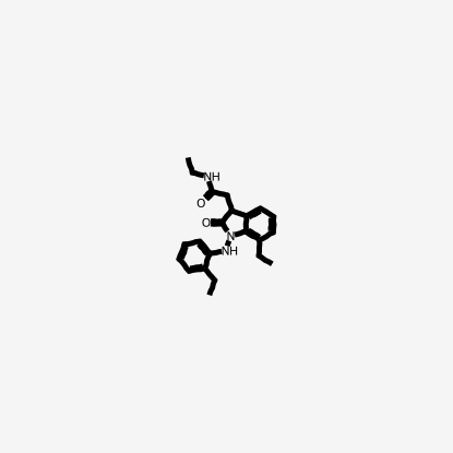 CCNC(=O)CC1C(=O)N(Nc2ccccc2CC)c2c(CC)cccc21